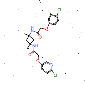 CC1(NC(=O)COc2ccc(Cl)nc2)CC(C)(NC(=O)COc2ccc(Cl)c(F)c2)C1